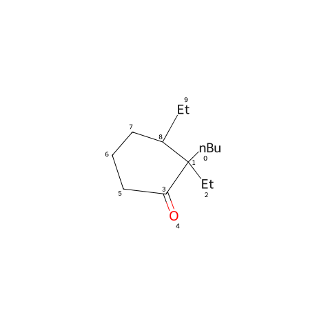 CCCCC1(CC)C(=O)CCCC1CC